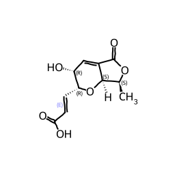 C[C@@H]1OC(=O)C2=C[C@@H](O)[C@@H](/C=C/C(=O)O)O[C@@H]21